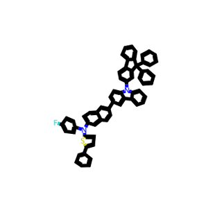 Fc1ccc(N(c2ccc3cc(-c4ccc5c(c4)c4ccccc4n5-c4ccc5c(c4)C(c4ccccc4)(c4ccccc4)c4ccccc4-5)ccc3c2)c2ccc(-c3ccccc3)s2)cc1